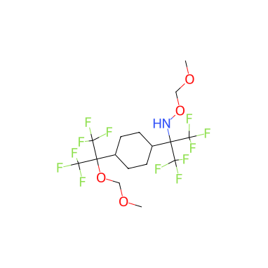 COCONC(C1CCC(C(OCOC)(C(F)(F)F)C(F)(F)F)CC1)(C(F)(F)F)C(F)(F)F